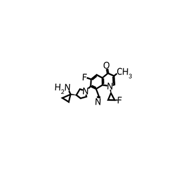 Cc1cn([C@@H]2C[C@@H]2F)c2c(C#N)c(N3CC[C@@H](C4(N)CC4)C3)c(F)cc2c1=O